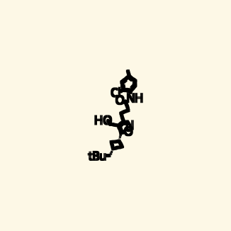 Cc1ccc(NC(=O)CCc2noc([C@H]3C[C@@H](CC(C)(C)C)C3)c2CO)c(Cl)c1